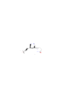 CN1C(=O)CCC1c1cncc(C#CC(C)(C)O)c1